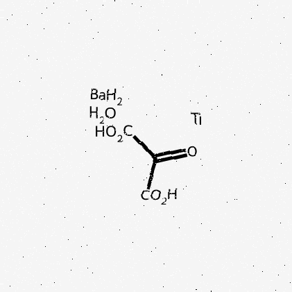 O.O=C(O)C(=O)C(=O)O.[BaH2].[Ti]